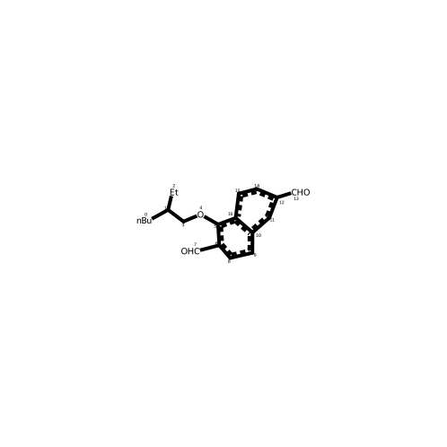 CCCCC(CC)COc1c(C=O)ccc2cc(C=O)ccc12